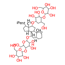 CCCC(C)C1CC[C@H]2[C@H]3C(OC4OC(CO)C(OC5OC(CO)C(O)C(O)C5O)C(O)C4O)C[C@@H]4CCCCC4(C)C3CC(OC3CC(CO)C(OC4OC(CO)C(O)C(O)C4O)C(O)C3O)C12C